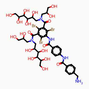 NCc1ccc(C(=O)Nc2ccc(C(=O)Nc3c(Br)c(C(=O)N(CC(O)CO)CC(O)C(O)C(O)C(O)CO)c(Br)c(C(=O)N(CC(O)CO)CC(O)C(O)C(O)C(O)CO)c3Br)cc2)cc1